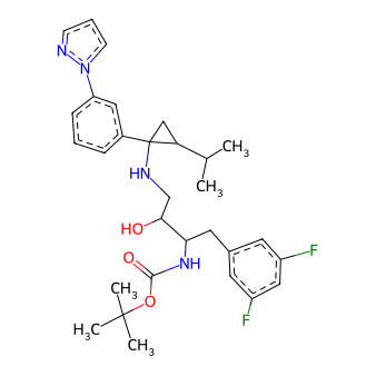 CC(C)C1CC1(NCC(O)C(Cc1cc(F)cc(F)c1)NC(=O)OC(C)(C)C)c1cccc(-n2cccn2)c1